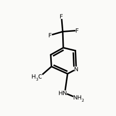 Cc1cc(C(F)(F)F)cnc1NN